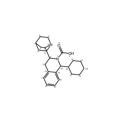 O=C(O)N1C(C2CC3CCN2CC3)Cc2ccccc2C1C1CCCCC1